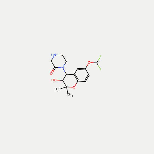 CC1(C)Oc2ccc(OC(F)F)cc2C(N2CCNCC2=O)C1O